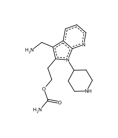 NCc1c(CCOC(N)=O)n(C2CCNCC2)c2ncccc12